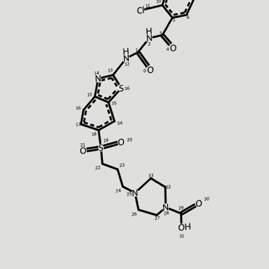 O=C(NC(=O)c1ccccc1Cl)Nc1nc2ccc(S(=O)(=O)CCCN3CCN(C(=O)O)CC3)cc2s1